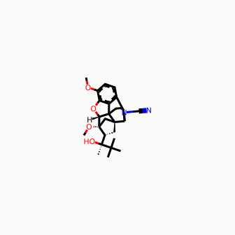 COc1ccc2c3c1O[C@@H]1C34CCN(C#N)C(C2)[C@@]42C[C@H]([C@](C)(O)C(C)(C)C)[C@]1(OC)C2